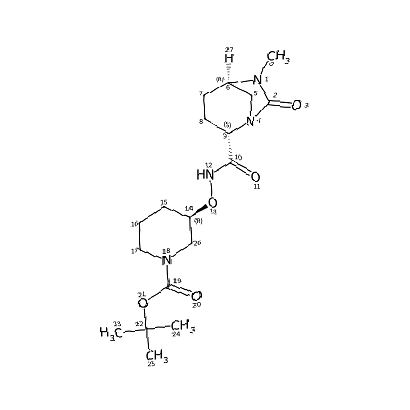 CN1C(=O)N2C[C@H]1CC[C@H]2C(=O)NO[C@@H]1CCCN(C(=O)OC(C)(C)C)C1